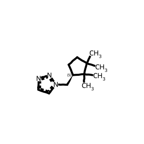 CC1(C)CC[C@H](Cn2ccnn2)C1(C)C